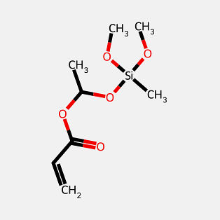 C=CC(=O)OC(C)O[Si](C)(OC)OC